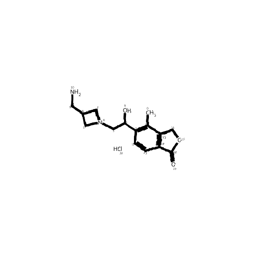 Cc1c(C(O)CN2CC(CN)C2)ccc2c1COC2=O.Cl